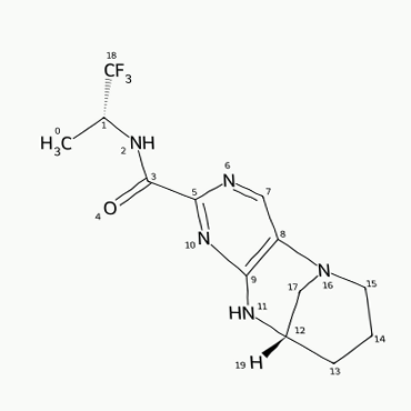 C[C@@H](NC(=O)c1ncc2c(n1)N[C@H]1CCCN2C1)C(F)(F)F